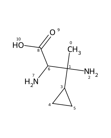 CC(N)(C1CC1)C(N)C(=O)O